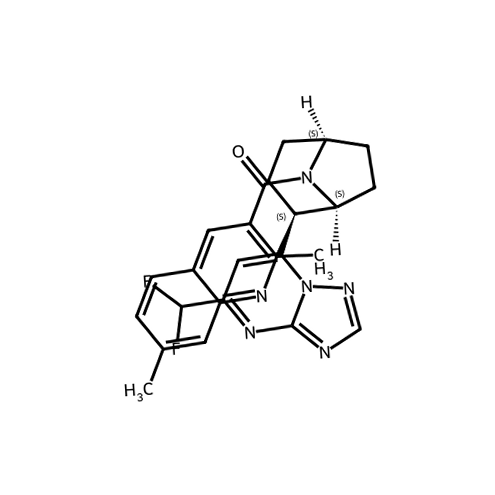 Cc1ccc2cc(C(=O)N3[C@H]4CC[C@H](c5cc(C(F)F)nc6ncnn56)[C@@H]3CC4)c(C)nc2c1